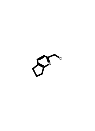 ClCc1ccc2c(n1)CCC2